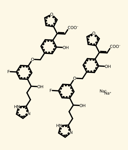 O=C([O-])C=C(c1ccoc1)c1ccc(COc2cc(F)cc(C(O)CCc3ncc[nH]3)c2)cc1O.O=C([O-])C=C(c1ccoc1)c1ccc(COc2cc(F)cc(C(O)CCc3ncc[nH]3)c2)cc1O.[Na+].[Na+]